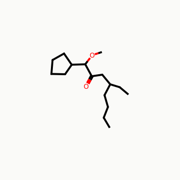 CCCCC(CC)CC(=O)C(OC)C1CCCC1